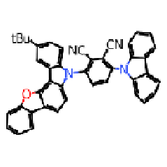 CC(C)(C)c1ccc2c(c1)c1c3oc4ccccc4c3ccc1n2-c1ccc(-n2c3ccccc3c3ccccc32)c(C#N)c1C#N